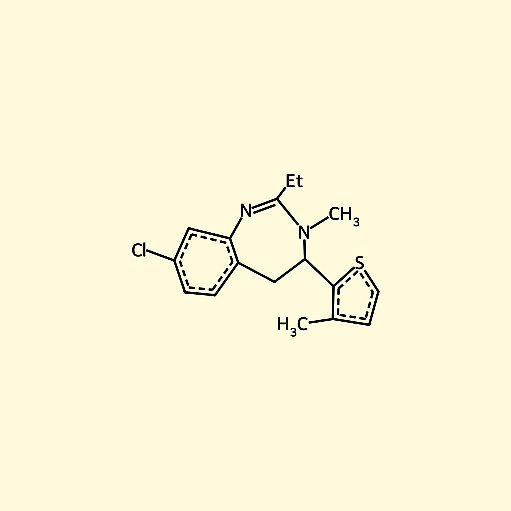 CCC1=Nc2cc(Cl)ccc2CC(c2sccc2C)N1C